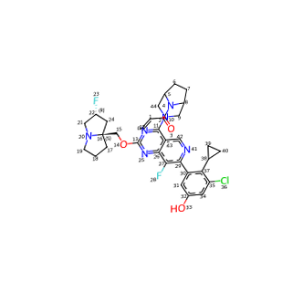 C=CC(=O)N1C2CCC1CN(c1nc(OC[C@@]34CCCN3C[C@H](F)C4)nc3c(F)c(-c4cc(O)cc(Cl)c4C4CC4)ncc13)C2